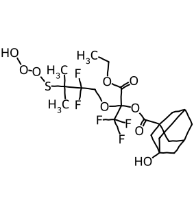 CCOC(=O)C(OCC(F)(F)C(C)(C)SOOO)(OC(=O)C12CC3CC(CC(O)(C3)C1)C2)C(F)(F)F